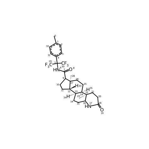 Cc1ccc(C(NC(=O)C2CC[C@H]3[C@@H]4CCC5NC(=O)CC[C@]5(C)[C@@H]4CC[C@]23C)(C(F)(F)F)C(F)(F)F)cc1